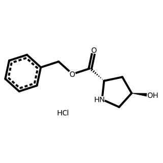 Cl.O=C(OCc1ccccc1)[C@@H]1C[C@@H](O)CN1